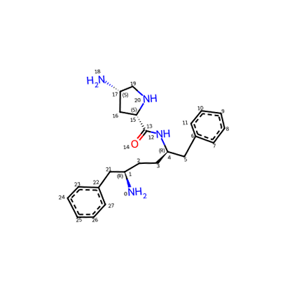 N[C@H](CC[C@H](Cc1ccccc1)NC(=O)[C@@H]1C[C@H](N)CN1)Cc1ccccc1